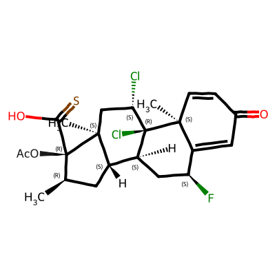 CC(=O)O[C@]1(C(O)=S)[C@H](C)C[C@H]2[C@@H]3C[C@H](F)C4=CC(=O)C=C[C@]4(C)[C@@]3(Cl)[C@@H](Cl)C[C@@]21C